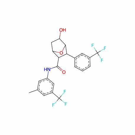 Cc1cc(NC(=O)C2C3CC(O)C(O3)C2c2cccc(C(F)(F)F)c2)cc(C(F)(F)F)c1